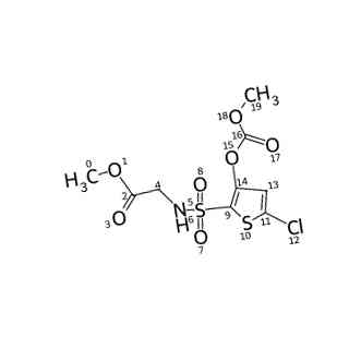 COC(=O)CNS(=O)(=O)c1sc(Cl)cc1OC(=O)OC